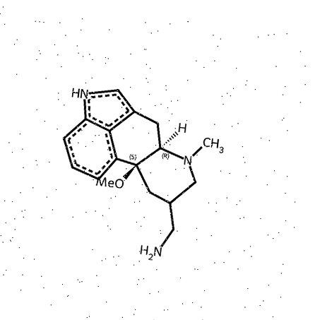 CO[C@]12CC(CN)CN(C)[C@@H]1Cc1c[nH]c3cccc2c13